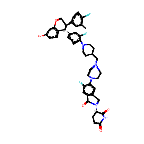 Cc1cc(C2COc3cc(O)ccc3[C@H]2c2ccc(N3CCC(CN4CCN(c5cc6c(cc5F)C(=O)N([C@H]5CCC(=O)NC5=O)C6)CC4)CC3)c(F)c2)ccc1F